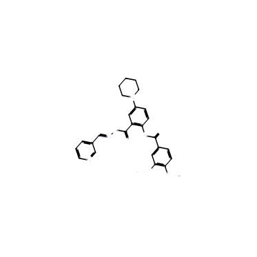 COc1ccc(C(=O)Nc2ccc(N3CCCCC3)cc2C(=O)N/N=C/c2cccnc2)cc1OC